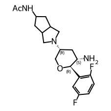 CC(=O)NC1CC2CN([C@H]3CO[C@H](c4cc(F)ccc4F)[C@@H](N)C3)CC2C1